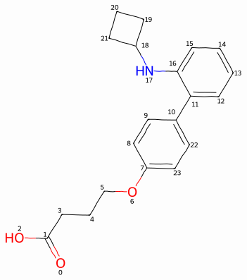 O=C(O)CCCOc1ccc(-c2ccccc2NC2CCC2)cc1